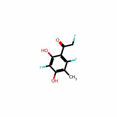 Cc1c(O)c(F)c(O)c(C(=O)CF)c1F